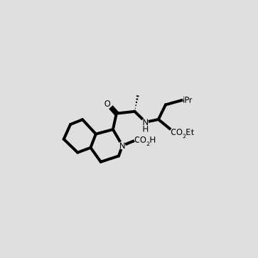 CCOC(=O)C(CC(C)C)N[C@@H](C)C(=O)C1C2CCCCC2CCN1C(=O)O